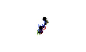 O=C(NCCCc1nc(-c2ccccc2)cs1)c1cccc(-c2noc(C(F)(F)F)n2)c1